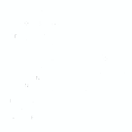 Cc1cc(-c2ccco2)ccc1-c1cc(C(F)(F)F)nn1-c1ccc(S(C)(=O)=O)c(F)c1